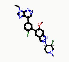 CCn1cnc2c(-c3ccc(F)c(-c4cc5cn([C@@H]6CCN(C)C[C@@H]6F)nc5cc4OC)c3)cnnc21